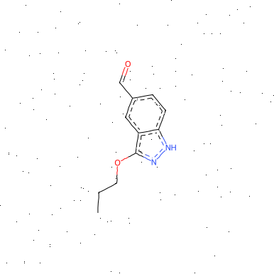 CCCOc1n[nH]c2ccc(C=O)cc12